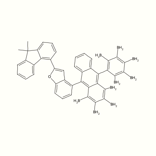 Bc1c(B)c(B)c(-c2c3ccccc3c(-c3cccc4oc(-c5cccc6c5-c5ccccc5C6(C)C)cc34)c3c(B)c(B)c(B)c(B)c23)c(B)c1B